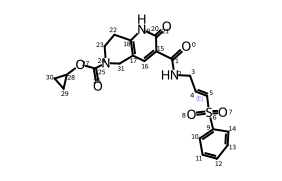 O=C(NC/C=C/S(=O)(=O)c1ccccc1)c1cc2c([nH]c1=O)CCN(C(=O)OC1CC1)C2